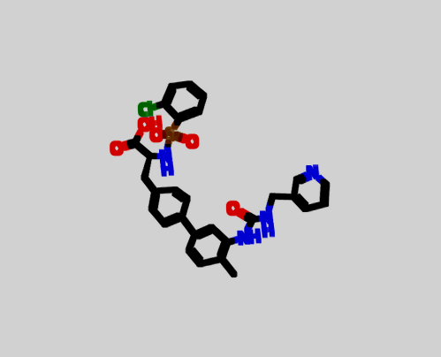 Cc1ccc(-c2ccc(C[C@H](NS(=O)(=O)c3ccccc3Cl)C(=O)O)cc2)cc1NC(=O)NCc1cccnc1